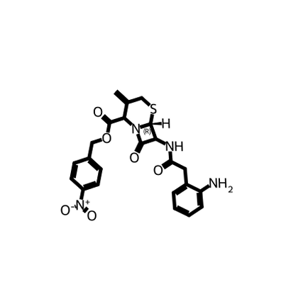 C=C1CS[C@@H]2C(NC(=O)Cc3ccccc3N)C(=O)N2C1C(=O)OCc1ccc([N+](=O)[O-])cc1